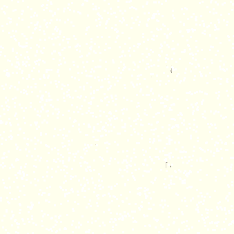 C=Cc1ccc(C(C)(C)c2ccc3c(c2)c2ccccc2n3-c2cccc(-c3cccc(-n4c5ccccc5c5ccccc54)c3)c2)cc1